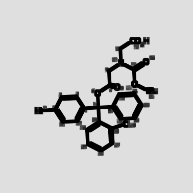 CCc1ccc(C(OC(=O)CN(CC(=O)O)C(=O)OC(C)(C)C)(c2ccccc2)c2ccccc2Cl)cc1